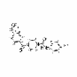 O=C(Nc1ccc(F)cc1)N1CCN(C(=O)c2ccc(OC(F)(F)F)cc2)CC1